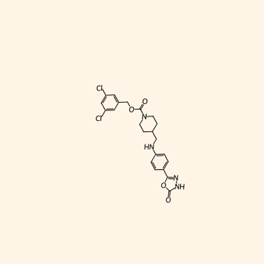 O=C(OCc1cc(Cl)cc(Cl)c1)N1CCC(CNc2ccc(-c3n[nH]c(=O)o3)cc2)CC1